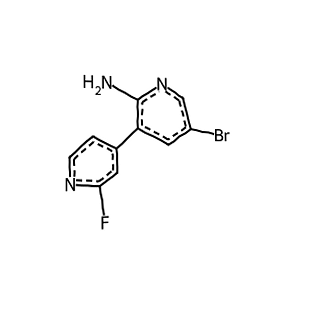 Nc1ncc(Br)cc1-c1ccnc(F)c1